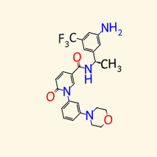 C[C@@H](NC(=O)c1ccc(=O)n(-c2cccc(N3CCOCC3)c2)c1)c1cc(N)cc(C(F)(F)F)c1